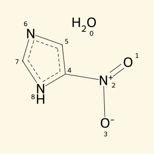 O.O=[N+]([O-])c1cnc[nH]1